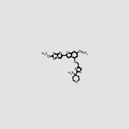 COc1cc(OCc2csc(C3(P)CCOCC3)n2)c2cc(-c3cn4nc(OC)sc4n3)oc2c1